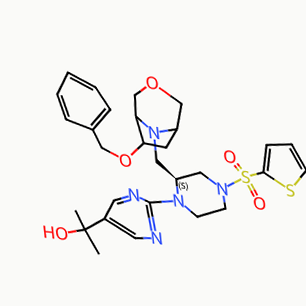 CC(C)(O)c1cnc(N2CCN(S(=O)(=O)c3cccs3)C[C@@H]2CN2C3COCC2C(OCc2ccccc2)C3)nc1